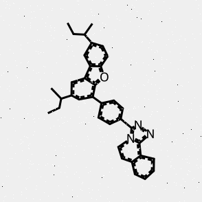 CCC(C)c1ccc2oc3c(-c4ccc(-c5nnc6c7ccccc7ccn56)cc4)cc(C(C)CC)cc3c2c1